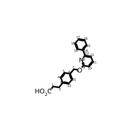 O=C(O)CCc1ccc(COc2cccc(-c3ccccc3)n2)cc1